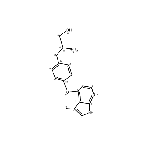 Cc1c[nH]c2nccc(Oc3ccc(C[C@H](N)CO)cc3)c12